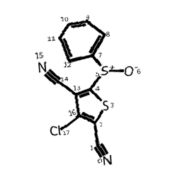 N#Cc1sc([S+]([O-])c2ccccc2)c(C#N)c1Cl